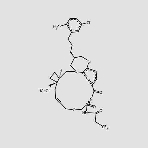 CO[C@H]1/C=C/CCCS(=O)(NC(=O)CC(F)(F)F)=NC(=O)c2ccc3c(c2)N(C[C@@H](CCCc2cc(Cl)ccc2C)CO3)C[C@@H]2CC[C@H]21